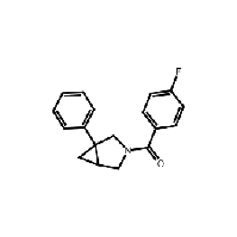 O=C(c1ccc(F)cc1)N1CC2CC2(c2ccccc2)C1